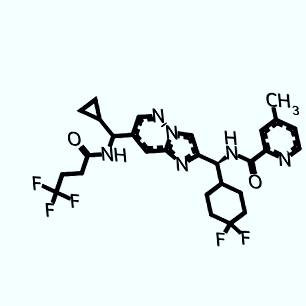 Cc1ccnc(C(=O)N[C@H](c2cn3ncc(C(NC(=O)CCC(F)(F)F)C4CC4)cc3n2)C2CCC(F)(F)CC2)c1